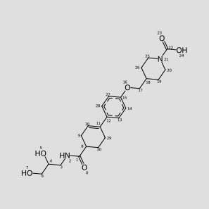 O=C(NCC(O)CO)C1CC=C(c2ccc(OCC3CCN(C(=O)O)CC3)cc2)CC1